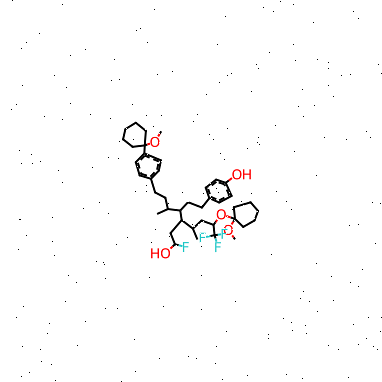 COC1(OC(CC(C)C(CC(O)F)C(CCc2ccc(O)cc2)C(C)CCc2ccc(C3(OC)CCCCC3)cc2)C(F)(F)F)CCCCC1